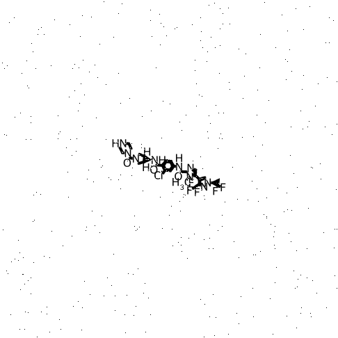 Cn1c(-c2cn(C3CC3(F)F)nc2C(F)(F)F)cnc1C(=O)Nc1ccc(C(=O)N[C@@H]2[C@@H]3CN(C(=O)N4CCNCC4)C[C@@H]32)c(Cl)c1